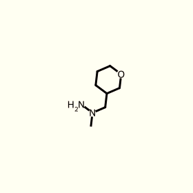 CN(N)CC1CCCOC1